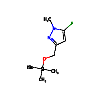 Cn1nc(CO[Si](C)(C)C(C)(C)C)cc1F